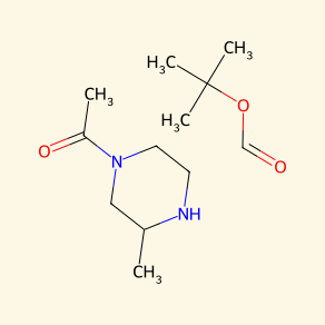 CC(=O)N1CCNC(C)C1.CC(C)(C)OC=O